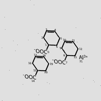 O=C([O-])C1CC=CCC1.O=C([O-])C1CC=CCC1.O=C([O-])C1CC=CCC1.[Al+3]